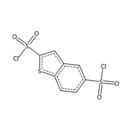 O=S(=O)(Cl)c1ccc2sc(S(=O)(=O)Cl)cc2c1